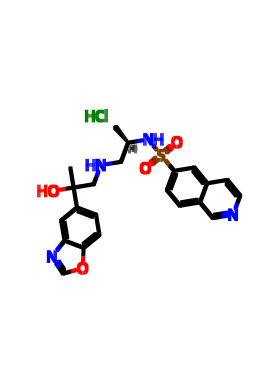 C[C@H](CNCC(C)(O)c1ccc2ocnc2c1)NS(=O)(=O)c1ccc2cnccc2c1.Cl